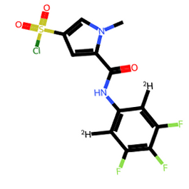 [2H]c1c(F)c(F)c(F)c([2H])c1NC(=O)c1cc(S(=O)(=O)Cl)cn1C